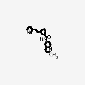 Cc1ccc2cc(NC(=O)c3cccc(/C=C/c4cccnc4)c3)ccc2n1